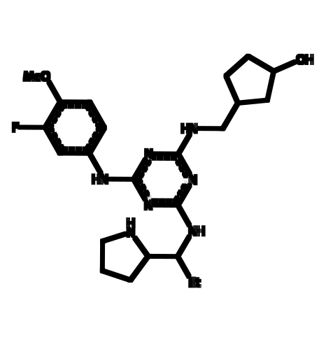 CCC(Nc1nc(NCC2CCC(O)C2)nc(Nc2ccc(OC)c(F)c2)n1)C1CCCN1